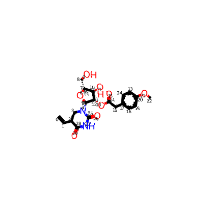 C=CC1CN([C@@H]2O[C@H](CO)[C@@H](O)[C@@H]2OC(=O)Cc2ccc(OC)cc2)C(=O)NC1=O